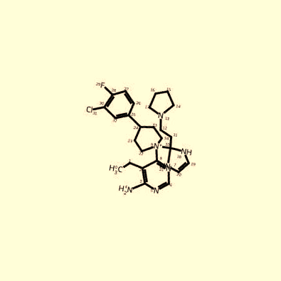 CCc1c(N)ncnc1[N+]1(C2(CCN3CCCC3)NC=CN2)CCC(c2ccc(F)c(Cl)c2)CC1